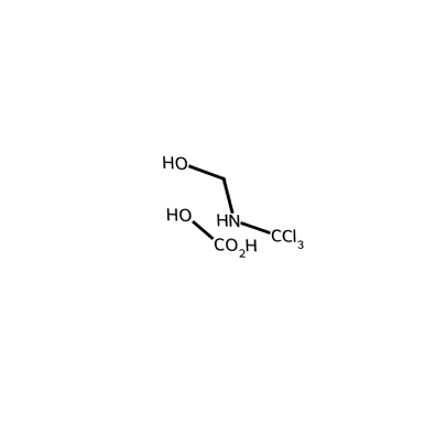 O=C(O)O.OCNC(Cl)(Cl)Cl